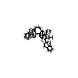 CC(C)C[C@H](NC(=O)c1ccc2ccccc2n1)C(=O)NC1/C=C\CCN(S(=O)(=O)c2ccccn2)CC1=O